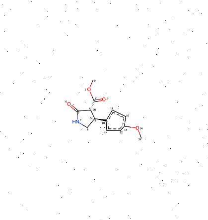 COC(=O)[C@H]1C(=O)NC[C@@H]1c1ccc(OC)cc1